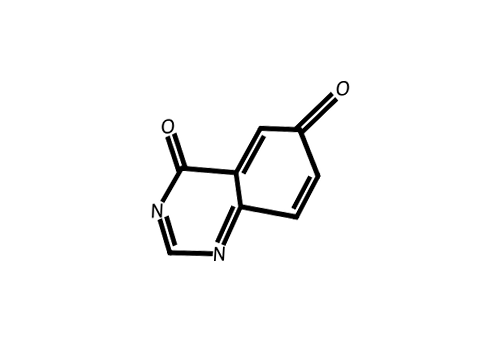 O=C1C=CC2=NC=NC(=O)C2=C1